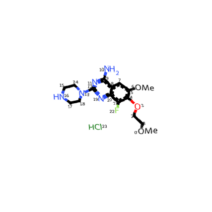 COCCOc1c(OC)cc2c(N)nc(N3CCNCC3)nc2c1F.Cl